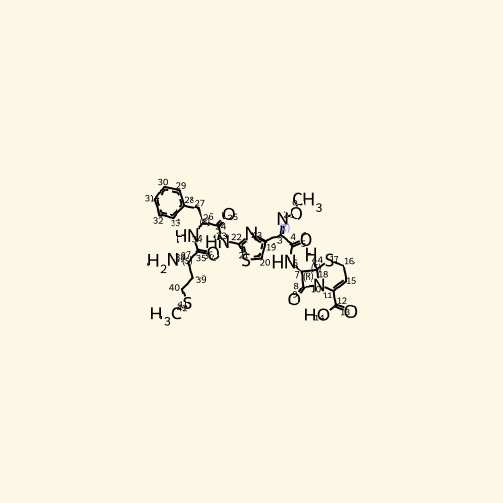 CO/N=C(\C(=O)N[C@@H]1C(=O)N2C(C(=O)O)=CCS[C@@H]12)c1csc(NC(=O)[C@H](Cc2ccccc2)NC(=O)[C@@H](N)CCSC)n1